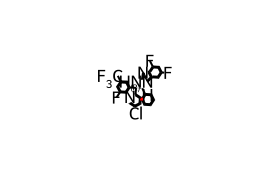 Fc1cc(C(F)(F)F)cc([C@@](Cc2ccccc2)(Nc2nc3c(F)cc(F)cc3[nH]2)c2ccc(Cl)cn2)c1